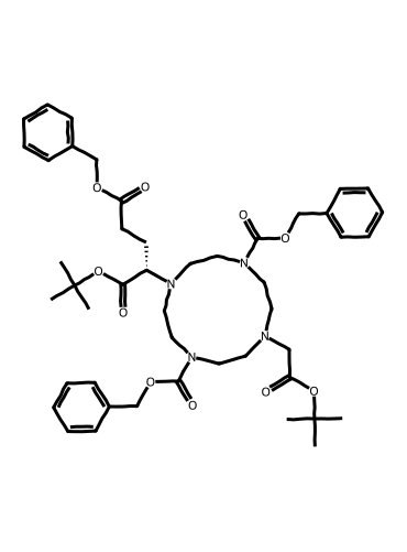 CC(C)(C)OC(=O)CN1CCN(C(=O)OCc2ccccc2)CCN([C@@H](CCC(=O)OCc2ccccc2)C(=O)OC(C)(C)C)CCN(C(=O)OCc2ccccc2)CC1